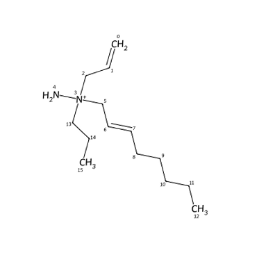 C=CC[N+](N)(CC=CCCCCC)CCC